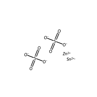 O=S(=O)([O-])[O-].O=S(=O)([O-])[O-].[Sn+2].[Zn+2]